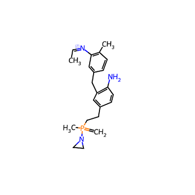 C=P(C)(CCc1ccc(N)c(Cc2ccc(C)c(/N=C\C)c2)c1)N1CC1